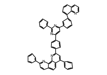 c1ccc(-c2ccc3ccc4c(-c5ccccc5)cc(-c5ccc(-c6cc(-c7cccc(-c8cccc9cccnc89)c7)nc(-c7ccccc7)n6)cc5)nc4c3n2)cc1